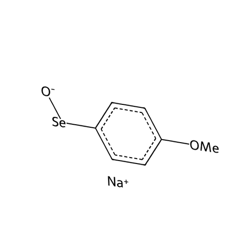 COc1ccc([Se][O-])cc1.[Na+]